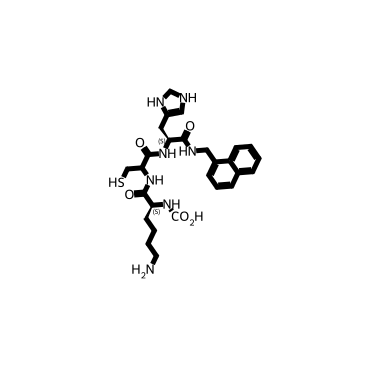 NCCCC[C@H](NC(=O)O)C(=O)NC(CS)C(=O)N[C@@H](CC1=CNCN1)C(=O)NCc1cccc2ccccc12